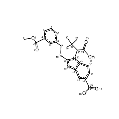 COC(=O)c1cccc(CSc2nc3cc([N+](=O)[O-])ccc3n2C(C(=O)O)C(C)(C)C)c1